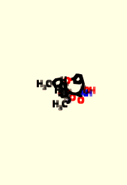 C/C=C\[C@H]1C=C[C@H]2[C@@H]3C[C@H](C)CC[C@H]3[C@@H]3Oc4ccc(cc4)C[C@@]4(O)CC(C(=O)N4)C(=O)[C@@H]1[C@H]23